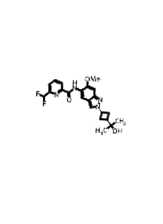 COc1cc2nn([C@H]3C[C@H](C(C)(C)O)C3)cc2cc1NC(=O)c1cccc(C(F)F)n1